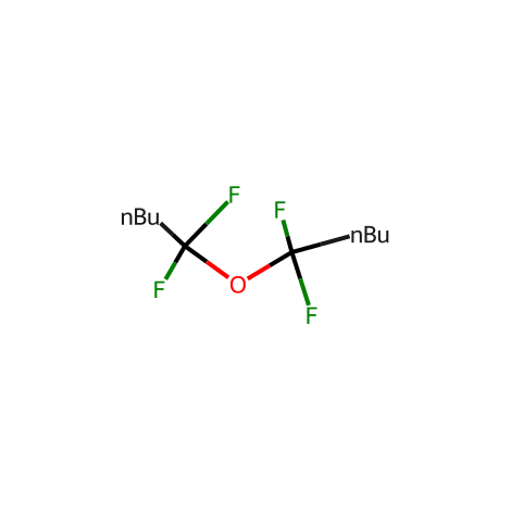 CCCCC(F)(F)OC(F)(F)CCCC